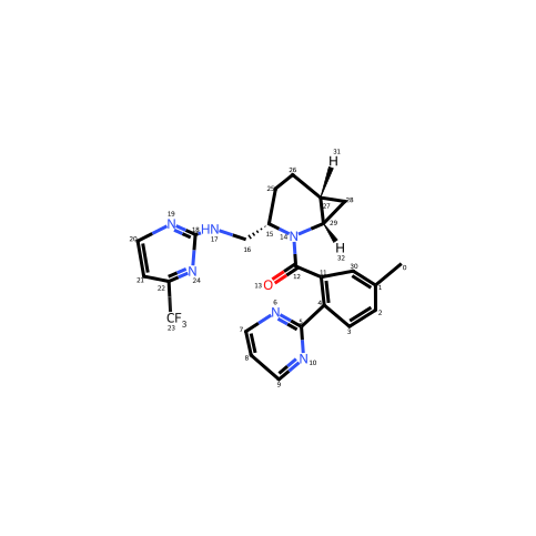 Cc1ccc(-c2ncccn2)c(C(=O)N2[C@H](CNc3nccc(C(F)(F)F)n3)CC[C@@H]3C[C@@H]32)c1